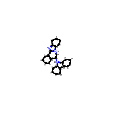 c1ccc2c(c1)nc1c3ccccc3c(-n3c4ccccc4c4ccccc43)cn21